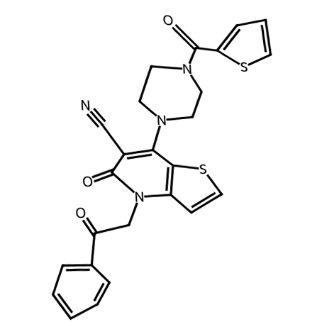 N#Cc1c(N2CCN(C(=O)c3cccs3)CC2)c2sccc2n(CC(=O)c2ccccc2)c1=O